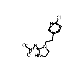 O=[N+]([O-])N=C1NCCN1CCc1ccc(Cl)nc1